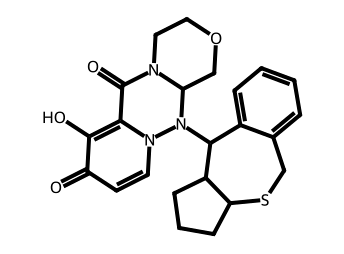 O=C1c2c(O)c(=O)ccn2N(C2c3ccccc3CSC3CCCC32)C2COCCN12